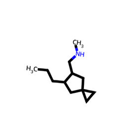 CCCC1CC2(CC2)CC1CNC